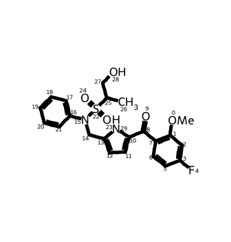 COc1cc(F)ccc1C(=O)c1ccc(CN(c2ccccc2)S(=O)(=O)C(C)CO)[nH]1